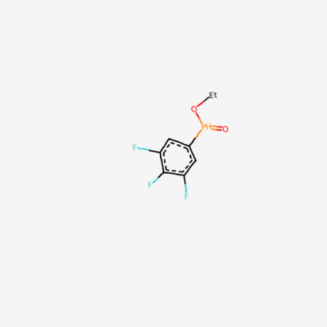 CCO[PH](=O)c1cc(F)c(F)c(F)c1